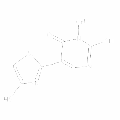 Cc1ncc(-c2nc(S)cs2)c(=O)n1C